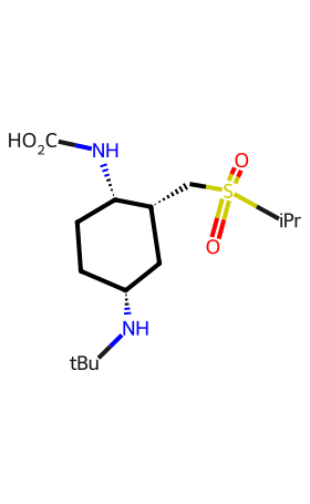 CC(C)S(=O)(=O)C[C@@H]1C[C@H](NC(C)(C)C)CC[C@@H]1NC(=O)O